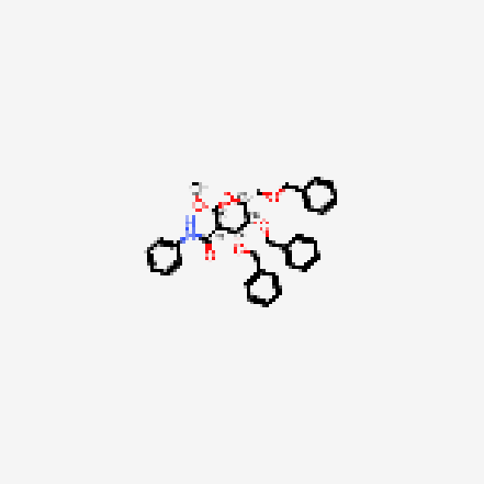 CO[C@@H]1O[C@H](COCc2ccccc2)[C@H](OCc2ccccc2)[C@H](OCc2ccccc2)[C@H]1C(=O)Nc1ccccc1